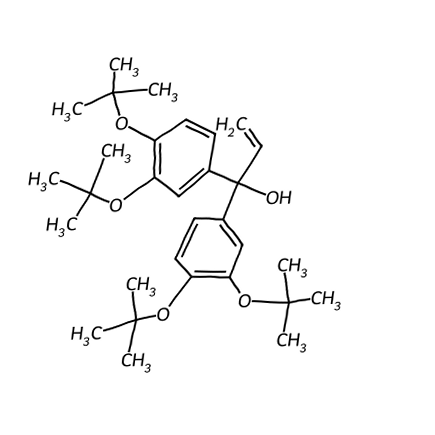 C=CC(O)(c1ccc(OC(C)(C)C)c(OC(C)(C)C)c1)c1ccc(OC(C)(C)C)c(OC(C)(C)C)c1